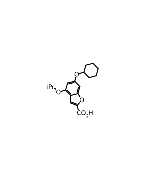 CC(C)Oc1cc(OC2CCCCC2)cc2oc(C(=O)O)cc12